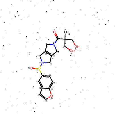 CC(CO)(CO)C(=O)N1CC2=C(C1)CN([S+]([O-])c1ccc3occc3c1)C2